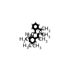 C=C(c1ccccc1CC)N(C)/C=C(\C)C1CC(C)(C)CC(C)(C)C1